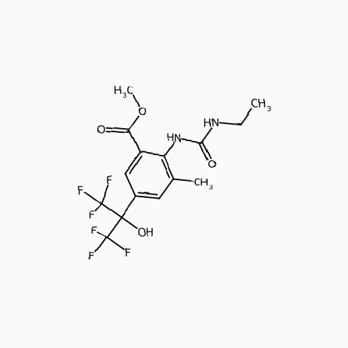 CCNC(=O)Nc1c(C)cc(C(O)(C(F)(F)F)C(F)(F)F)cc1C(=O)OC